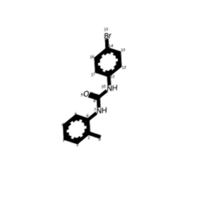 Cc1ccccc1NC(=O)Nc1ccc(Br)cc1